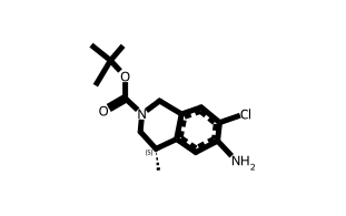 C[C@@H]1CN(C(=O)OC(C)(C)C)Cc2cc(Cl)c(N)cc21